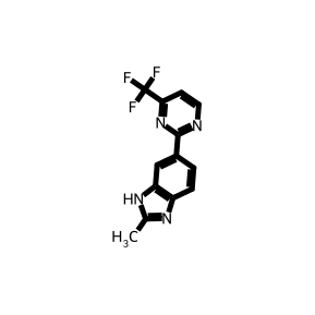 Cc1nc2ccc(-c3nccc(C(F)(F)F)n3)cc2[nH]1